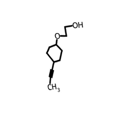 CC#CC1CCC(OCCO)CC1